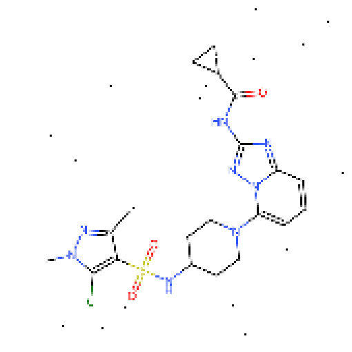 Cc1nn(C)c(Cl)c1S(=O)(=O)NC1CCN(c2cccc3nc(NC(=O)C4CC4)nn23)CC1